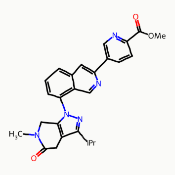 COC(=O)c1ccc(-c2cc3cccc(-n4nc(C(C)C)c5c4CN(C)C(=O)C5)c3cn2)cn1